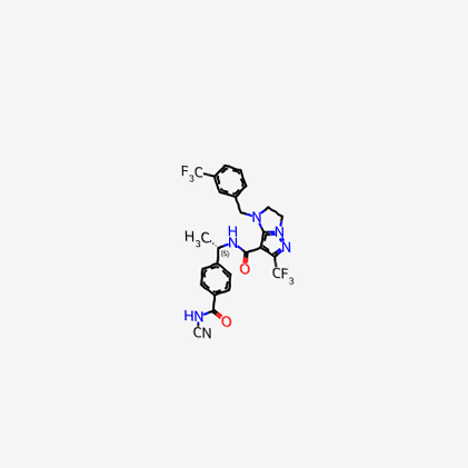 C[C@H](NC(=O)c1c(C(F)(F)F)nn2c1N(Cc1cccc(C(F)(F)F)c1)CC2)c1ccc(C(=O)NC#N)cc1